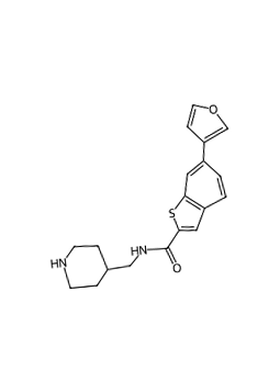 O=C(NCC1CCNCC1)c1cc2ccc(-c3ccoc3)cc2s1